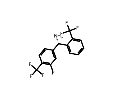 N[C@@H](c1ccc(C(F)(F)F)c(F)c1)c1ccccc1C(F)(F)F